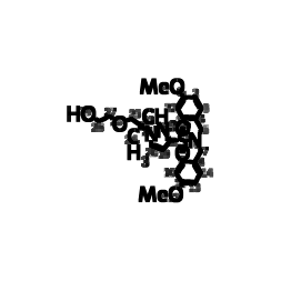 COc1ccc(CN(Cc2ccc(OC)cc2)S(=O)(=O)c2ccn(C(C)(C)COCCO)n2)cc1